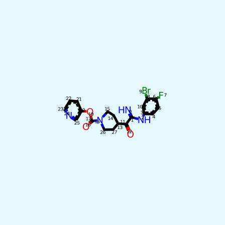 N=C(Nc1ccc(F)c(Br)c1)C(=O)C1CCN(C(=O)Oc2cccnc2)CC1